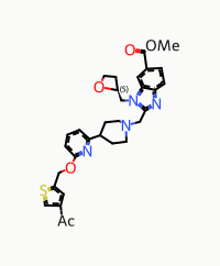 COC(=O)c1ccc2nc(CN3CCC(c4cccc(OCc5cc(C(C)=O)cs5)n4)CC3)n(C[C@@H]3CCO3)c2c1